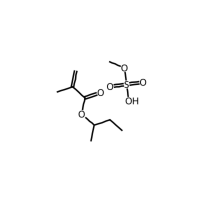 C=C(C)C(=O)OC(C)CC.COS(=O)(=O)O